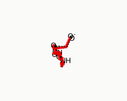 COc1cc2c(Oc3ccc(Nc4ccc(C(C)(C)C)cc4)cc3)ccnc2cc1OCC[N+]1(CCCCCCCC/C=C\CCCCCCCC(=O)[O-])CCOCC1